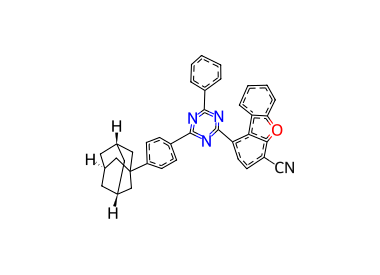 N#Cc1ccc(-c2nc(-c3ccccc3)nc(-c3ccc(C45C[C@H]6C[C@@H](C4)C[C@@H](C5)C6)cc3)n2)c2c1oc1ccccc12